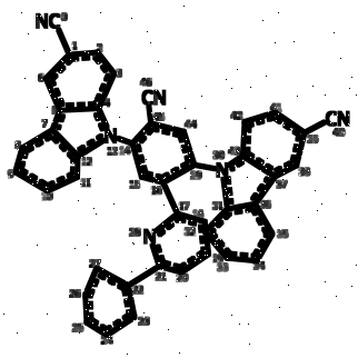 N#Cc1ccc2c(c1)c1ccccc1n2-c1cc(-c2cccc(-c3ccccc3)n2)c(-n2c3ccccc3c3cc(C#N)ccc32)cc1C#N